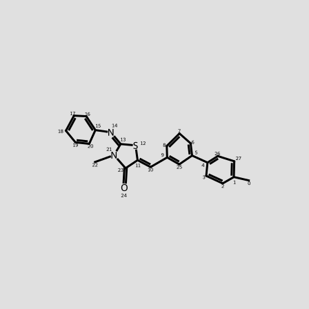 Cc1ccc(-c2cccc(/C=C3\S/C(=N/c4ccccc4)N(C)C3=O)c2)cc1